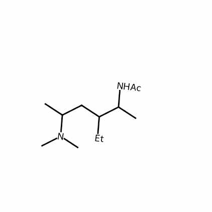 CCC(CC(C)N(C)C)C(C)NC(C)=O